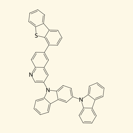 c1ccc2c(c1)sc1c(-c3ccc4ncc(-n5c6ccccc6c6cc(-n7c8ccccc8c8ccccc87)ccc65)cc4c3)cccc12